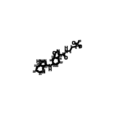 CS(=O)(=O)CCCNC(=O)c1noc2cc(Nc3n[nH]c4cccnc34)ccc12